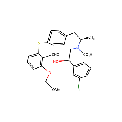 COCOc1cccc(Sc2ccc(C[C@@H](C)N(C[C@H](O)c3cccc(Cl)c3)C(=O)O)cc2)c1C=O